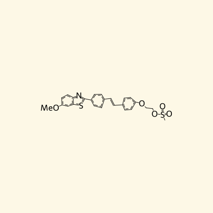 COc1ccc2nc(-c3ccc(C=Cc4ccc(OCCOS(C)(=O)=O)cc4)cc3)sc2c1